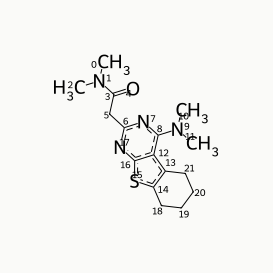 CN(C)C(=O)Cc1nc(N(C)C)c2c3c(sc2n1)CCCC3